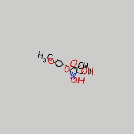 COc1ccc(COc2cn(O)c(CO)c(C)c2=O)cc1